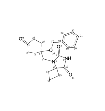 O=C1CCC(CN2C(=O)NC(=O)C23CCC3)(OCc2ccccc2)CC1